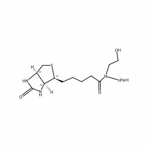 CCCCCN(CCO)C(=O)CCCC[C@@H]1SC[C@@H]2NC(=O)N[C@@H]21